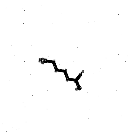 CCCCCC([O])I